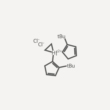 CC(C)(C)C1=[C]([Hf+2]2([C]3=C(C(C)(C)C)C=CC3)[CH2][CH2]2)CC=C1.[Cl-].[Cl-]